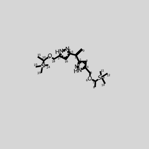 C=C(c1cc(COC(C)[Si](C)(C)C)[nH]n1)c1cc(COC(C)[Si](C)(C)C)[nH]n1